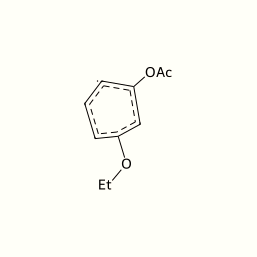 CCOc1cc[c]c(OC(C)=O)c1